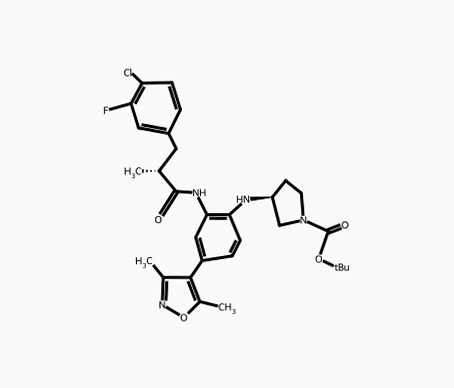 Cc1noc(C)c1-c1ccc(N[C@H]2CCN(C(=O)OC(C)(C)C)C2)c(NC(=O)[C@H](C)Cc2ccc(Cl)c(F)c2)c1